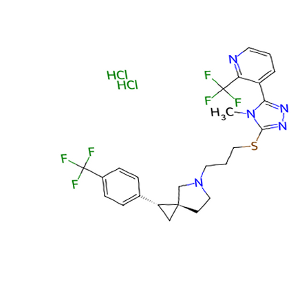 Cl.Cl.Cn1c(SCCCN2CC[C@]3(C[C@@H]3c3ccc(C(F)(F)F)cc3)C2)nnc1-c1cccnc1C(F)(F)F